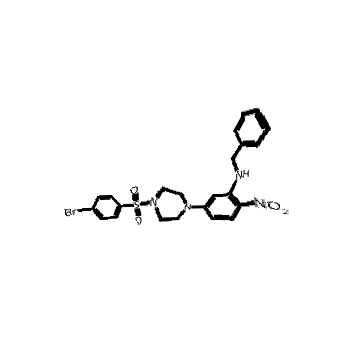 O=[N+]([O-])c1ccc(N2CCN(S(=O)(=O)c3ccc(Br)cc3)CC2)cc1NCc1ccccc1